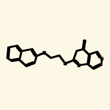 O=C1CC(OCCOc2ccc3ccccc3c2)=Nc2ccncc21